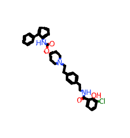 O=C(Nc1ccccc1-c1ccccc1)OC1CCN(CCc2ccc(CCNC(=O)c3cccc(Cl)c3O)cc2)CC1